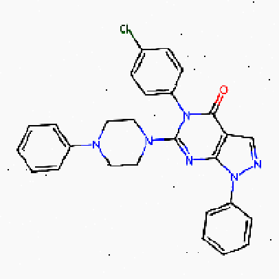 O=c1c2cnn(-c3ccccc3)c2nc(N2CCN(c3ccccc3)CC2)n1-c1ccc(Cl)cc1